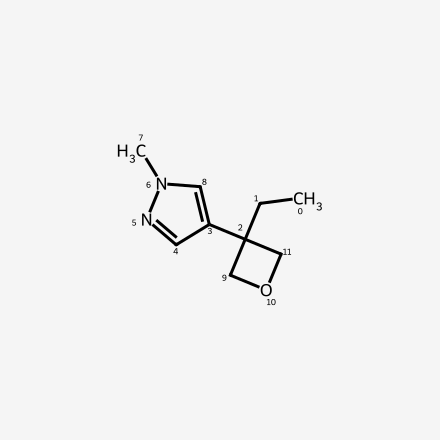 CCC1(c2cnn(C)c2)COC1